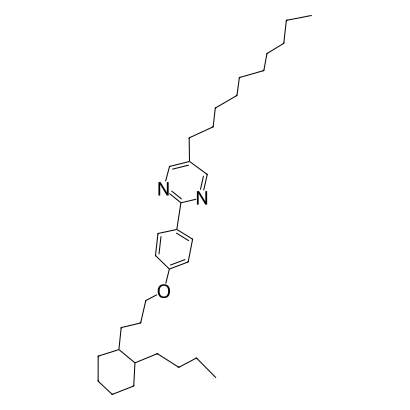 CCCCCCCCCCc1cnc(-c2ccc(OCCCC3CCCCC3CCCC)cc2)nc1